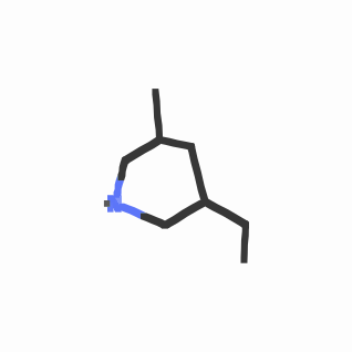 CCC1C[N]CC(C)C1